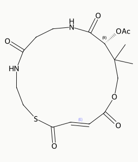 CC(=O)O[C@H]1C(=O)NCCC(=O)NCCSC(=O)/C=C/C(=O)OCC1(C)C